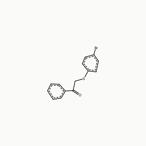 O=C(CSc1ccc(Br)cc1)c1ccccc1